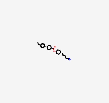 CCc1ccc([C@H]2CC[C@H](C(=O)O[C@H]3CC[C@H](C=CC=CC#N)CC3)CC2)cc1